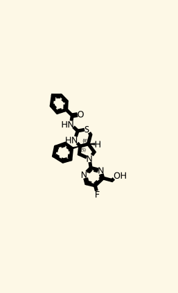 O=C(NC1N[C@@]2(c3ccccc3)CN(c3ncc(F)c(CO)n3)C[C@H]2CS1)c1ccccc1